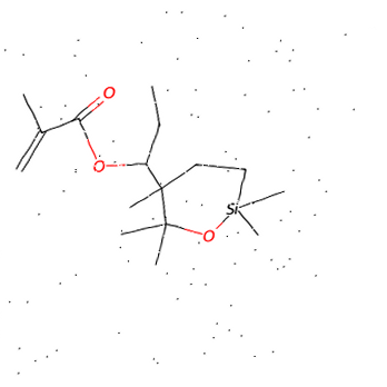 C=C(C)C(=O)OC(CC)C1(C)CC[Si](C)(C)OC1(C)C